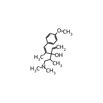 C=CC(O)(/C(C)=C\c1ccc(OC)cc1)C(C)CN(C)C